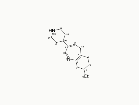 CCC1CCC2=C(C1)N=CC(C1CCNCC1)=CC2